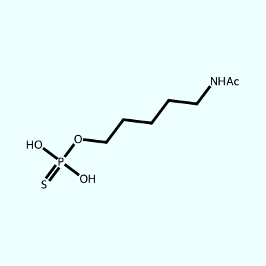 CC(=O)NCCCCCOP(O)(O)=S